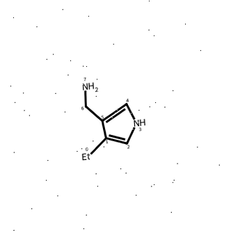 CCc1c[nH]cc1CN